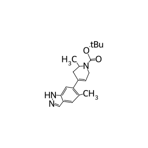 Cc1cc2cn[nH]c2cc1C1=CCN(C(=O)OC(C)(C)C)C(C)C1